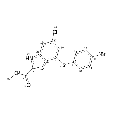 COC(=O)c1cc2c(Sc3ccc(Br)cc3)cc(Cl)cc2[nH]1